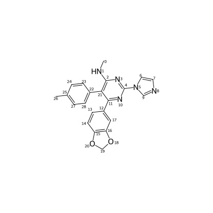 CNc1nc(-n2ccnc2)nc(-c2ccc3c(c2)OCO3)c1-c1ccc(C)cc1